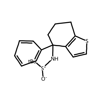 CC(C)(C)[S+]([O-])NC1(c2ccccc2)CCCc2sccc21